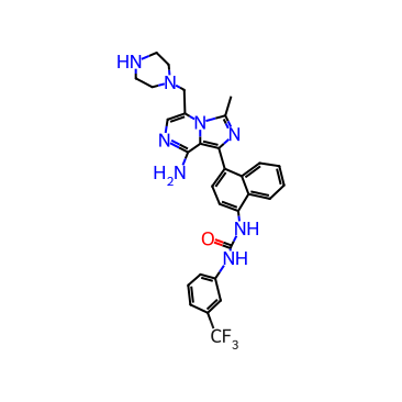 Cc1nc(-c2ccc(NC(=O)Nc3cccc(C(F)(F)F)c3)c3ccccc23)c2c(N)ncc(CN3CCNCC3)n12